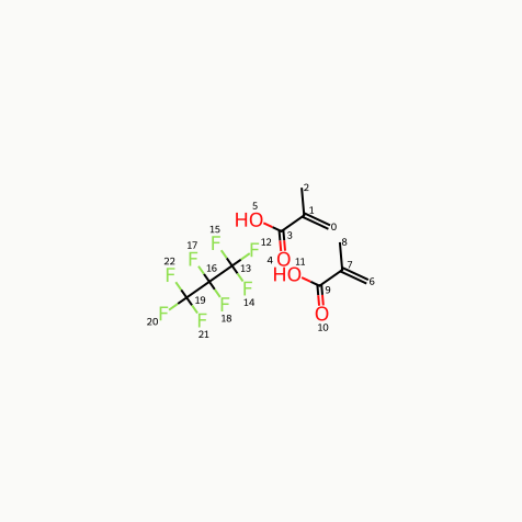 C=C(C)C(=O)O.C=C(C)C(=O)O.FC(F)(F)C(F)(F)C(F)(F)F